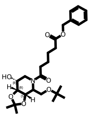 CC(C)(C)OCC1[C@@H]2OC(C)(C)O[C@@H]2[C@H](O)CN1C(=O)CCCCC(=O)OCc1ccccc1